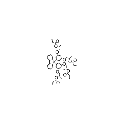 C=CC(=O)OC(C)COc1cc(OCC(C)OC(=O)C=C)cc(C2(c3cc(OCC(C)OC(=O)C=C)cc(OCC(C)OC(=O)C=C)c3)c3ccccc3-c3ccccc32)c1